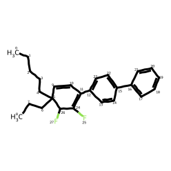 CCCCCC1(CCC)C=CC(c2ccc(-c3ccccc3)cc2)=C(F)C1F